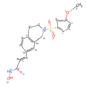 COc1cccc(S(=O)(=O)N2CCc3ccc(/C=C/C(=O)NO)cc3C2)c1